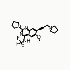 COc1cc2c(NC(F)(F)F)nc(N3CCCC3)nc2cc1C#CCN1CCCC1